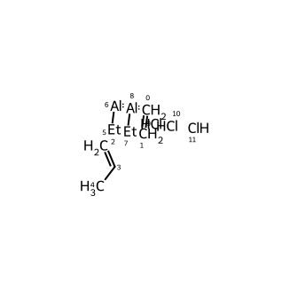 C=C.C=CC.C[CH2][Al].C[CH2][Al].Cl.Cl.Cl